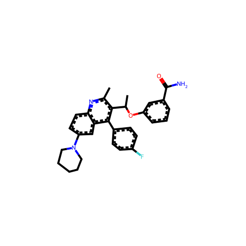 Cc1nc2ccc(N3CCCCC3)cc2c(-c2ccc(F)cc2)c1C(C)Oc1cccc(C(N)=O)c1